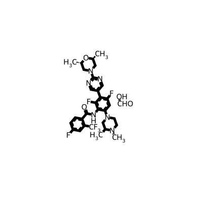 CC1CN(c2cc(F)c(-c3cnc(N4C[C@H](C)O[C@@H](C)C4)nc3)c(F)c2NC(=O)c2ccc(F)cc2C(F)(F)F)CCN1C.O=CO